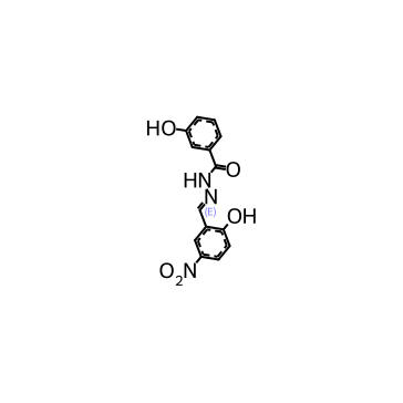 O=C(N/N=C/c1cc([N+](=O)[O-])ccc1O)c1cccc(O)c1